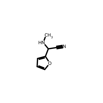 CNC(C#N)c1ccco1